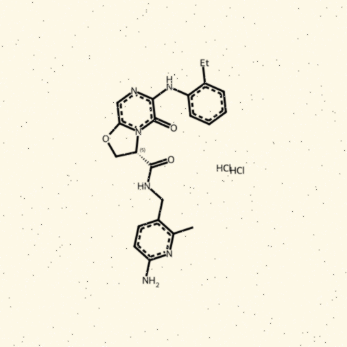 CCc1ccccc1Nc1ncc2n(c1=O)[C@H](C(=O)NCc1ccc(N)nc1C)CO2.Cl.Cl